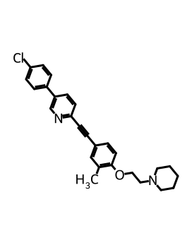 Cc1cc(C#Cc2ccc(-c3ccc(Cl)cc3)cn2)ccc1OCCN1CCCCC1